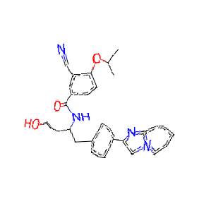 CC(C)Oc1ccc(C(=O)NC(CCO)Cc2ccc(-c3cn4ccccc4n3)cc2)cc1C#N